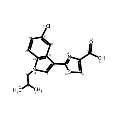 CC(C)Cn1cc(-c2nc(C(=O)O)cs2)c2cc(Cl)ccc21